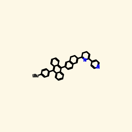 CC(C)(C)c1ccc(-c2c3ccccc3c(-c3ccc4c(c3)CCC(C3=NC(c5ccncc5)=CCC3)=C4)c3ccccc23)cc1